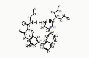 C=C(CC(=O)NCCC)Cc1c(F)cc(-c2cccc3ncc(/C(C=N)=C/NC(CCC)CCC)nc23)cc1F